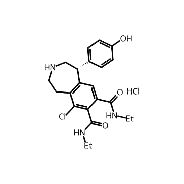 CCNC(=O)c1cc2c(c(Cl)c1C(=O)NCC)CCNC[C@@H]2c1ccc(O)cc1.Cl